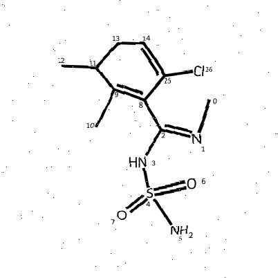 C/N=C(/NS(N)(=O)=O)C1=C(C)C(C)CC=C1Cl